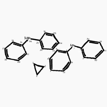 C1CC1.c1ccc(Pc2ccccc2)cc1.c1ccc(Pc2ccccc2)cc1